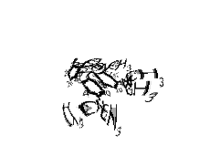 CN(C)c1ccc(C2(c3ccc(N(C)C)cc3N(C)C)OC(=O)c3ccccc32)cc1